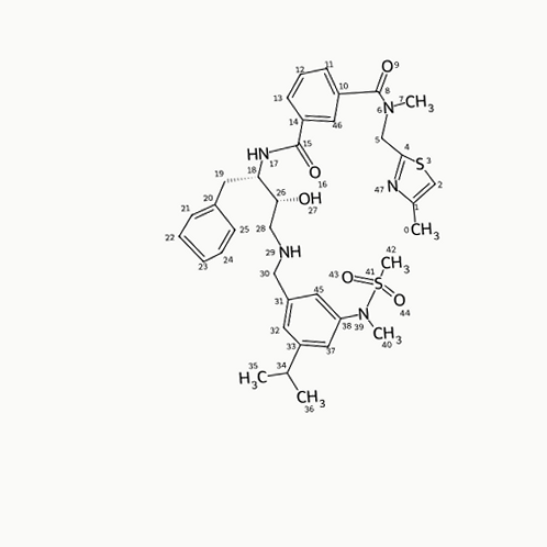 Cc1csc(CN(C)C(=O)c2cccc(C(=O)N[C@@H](Cc3ccccc3)[C@H](O)CNCc3cc(C(C)C)cc(N(C)S(C)(=O)=O)c3)c2)n1